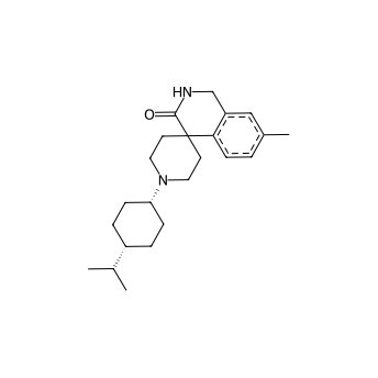 Cc1ccc2c(c1)CNC(=O)C21CCN([C@H]2CC[C@@H](C(C)C)CC2)CC1